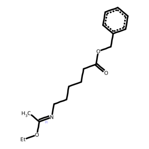 CCO/C(C)=N/CCCCCC(=O)OCc1ccccc1